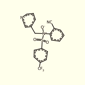 N#Cc1ccccc1[N+]([O-])(Cc1cccnc1)S(=O)(=O)c1ccc(C(F)(F)F)cc1